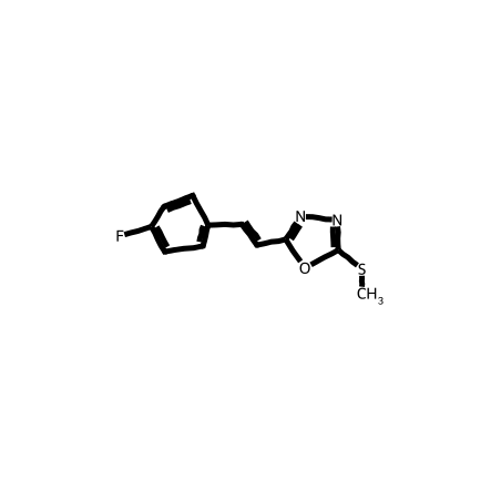 CSc1nnc(C=Cc2ccc(F)cc2)o1